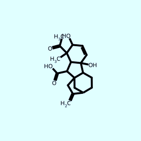 C=C1CC23CC1CCC2C1(O)C=CC(O)C(C)(C(C)=O)C1C3C(=O)O